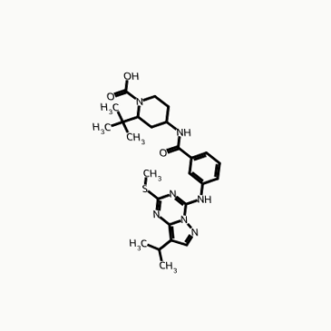 CSc1nc(Nc2cccc(C(=O)NC3CCN(C(=O)O)C(C(C)(C)C)C3)c2)n2ncc(C(C)C)c2n1